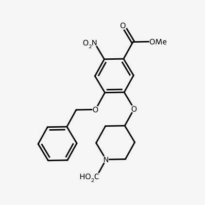 COC(=O)c1cc(OC2CCN(C(=O)O)CC2)c(OCc2ccccc2)cc1[N+](=O)[O-]